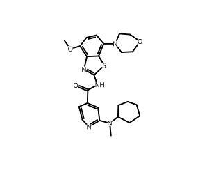 COc1ccc(N2CCOCC2)c2sc(NC(=O)c3ccnc(N(C)C4CCCCC4)c3)nc12